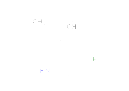 CCc1[nH]cc(F)c1C